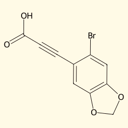 O=C(O)C#Cc1cc2c(cc1Br)OCO2